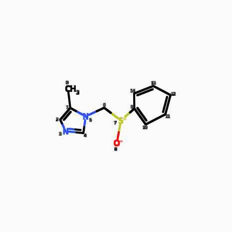 Cc1cncn1C[S+]([O-])c1ccccc1